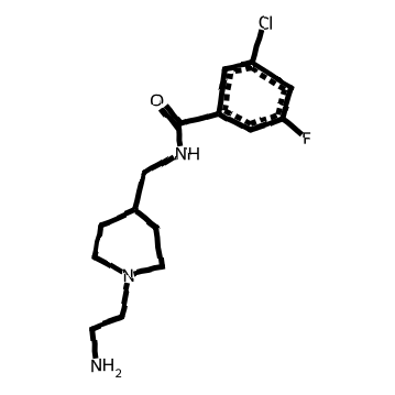 NCCN1CCC(CNC(=O)c2cc(F)cc(Cl)c2)CC1